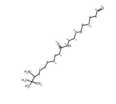 CC(C)(C)C(N)COCCOCCC(=O)NCCOCCOCCC=O